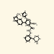 Cc1cnc2ccc(-c3nc(C(=O)NCc4ncccc4C4CNCCO4)c(N)nc3-c3ncco3)cn12